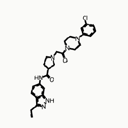 CCc1n[nH]c2cc(NC(=O)C3CCN(CC(=O)N4CCN(c5cccc(Cl)c5)CC4)C3)ccc12